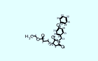 CCOC(=O)CCSC1CC(=O)N(Cc2ccc(Oc3ccccc3)cc2)C1=O